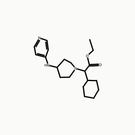 CCOC(=O)C(C1CCCCC1)N1CCC(Nc2ccncc2)CC1